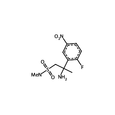 CNS(=O)(=O)CC(C)(N)c1cc([N+](=O)[O-])ccc1F